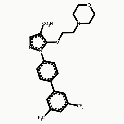 O=C(O)c1cnn(-c2ccc(-c3cc(C(F)(F)F)cc(C(F)(F)F)c3)cc2)c1OCCN1CCOCC1